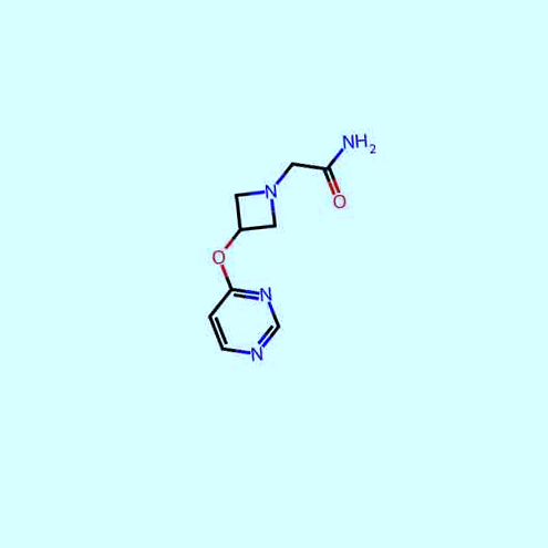 NC(=O)CN1CC(Oc2ccncn2)C1